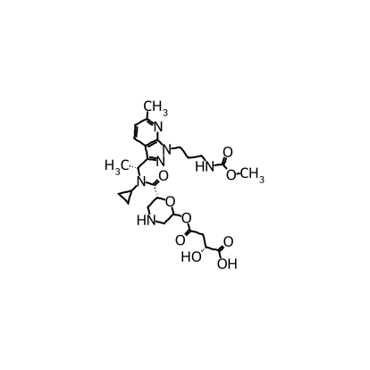 COC(=O)NCCCn1nc([C@@H](C)N(C(=O)[C@H]2CNCC(OC(=O)C[C@@H](O)C(=O)O)O2)C2CC2)c2ccc(C)nc21